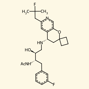 CC(=O)N[C@@H](Cc1cccc(F)c1)[C@@H](O)CN[C@H]1CC2(CCC2)Oc2cnc(CC(C)(C)F)cc21